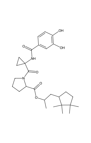 CC(CC1CCC(C)(C)C1(C)C)OC(=O)C1CCCN1C(=O)C1(NC(=O)c2ccc(O)c(O)c2)CC1